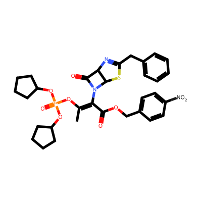 CC(OP(=O)(OC1CCCC1)OC1CCCC1)=C(C(=O)OCc1ccc([N+](=O)[O-])cc1)N1C(=O)C2N=C(Cc3ccccc3)SC21